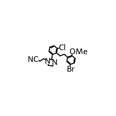 COc1ccc(Br)cc1CCc1c(Cl)cccc1C1=NCCN1CCC#N